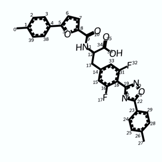 Cc1ccc(-c2ccc(C(=O)NC(Cc3cc(F)c(-c4noc(-c5ccc(C)cc5)n4)c(F)c3)C(=O)O)o2)cc1